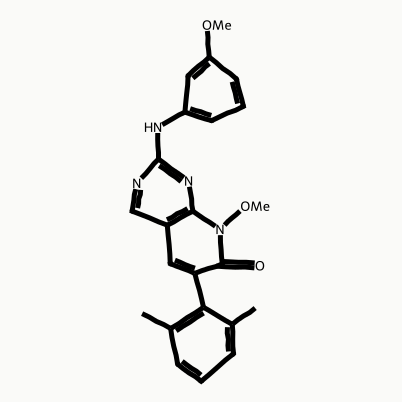 COc1cccc(Nc2ncc3cc(-c4c(C)cccc4C)c(=O)n(OC)c3n2)c1